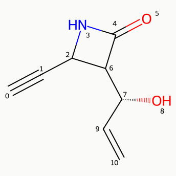 C#CC1NC(=O)C1[C@H](O)C=C